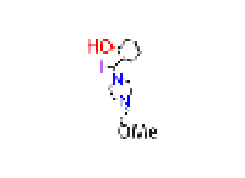 COCCN1CCN(C(I)c2ccccc2O)CC1